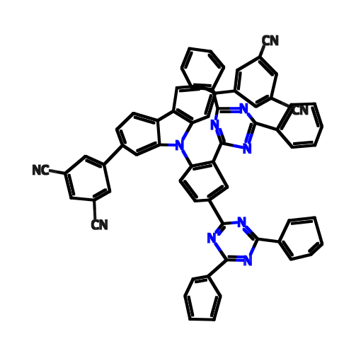 N#Cc1cc(C#N)cc(-c2ccc3c4ccc(-c5cc(C#N)cc(C#N)c5)cc4n(-c4ccc(-c5nc(-c6ccccc6)nc(-c6ccccc6)n5)cc4-c4nc(-c5ccccc5)nc(-c5ccccc5)n4)c3c2)c1